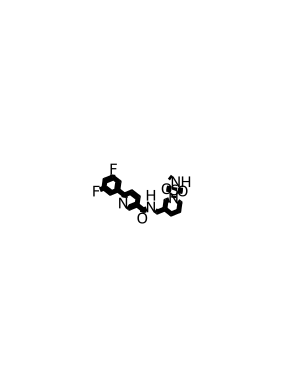 CNS(=O)(=O)N1CCCC(CNC(=O)c2ccc(-c3cc(F)cc(F)c3)nc2)C1